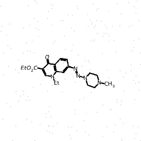 CCOC(=O)c1cn(CC)c2cc(N=NN3CCN(C)CC3)ccc2c1=O